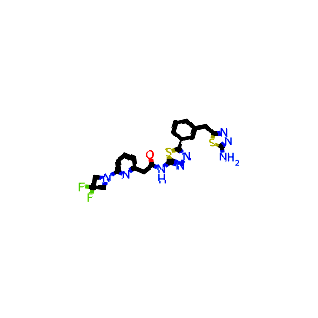 Nc1nnc(CC2CCC[C@H](c3nnc(NC(=O)Cc4cccc(N5CC(F)(F)C5)n4)s3)C2)s1